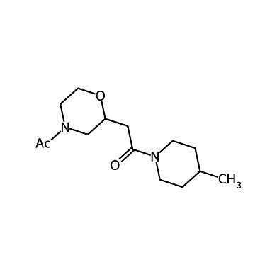 CC(=O)N1CCOC(CC(=O)N2CCC(C)CC2)C1